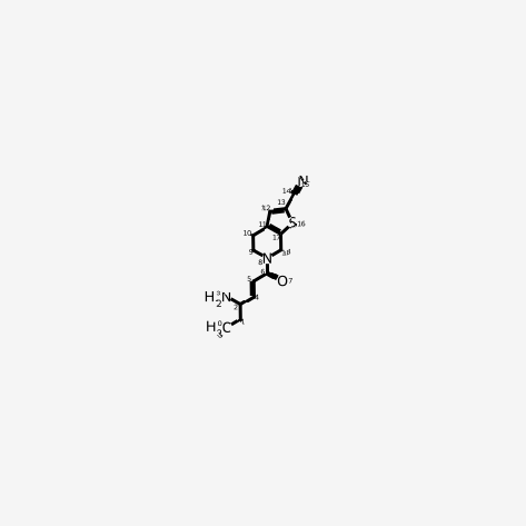 CCC(N)/C=C/C(=O)N1CCc2cc(C#N)sc2C1